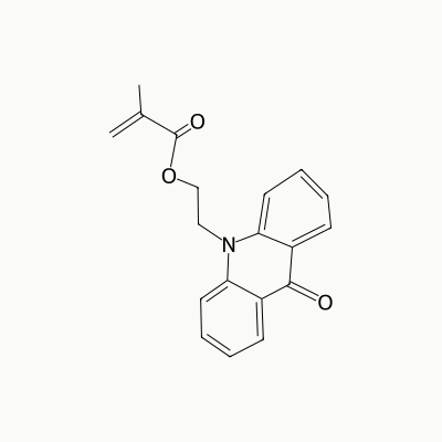 C=C(C)C(=O)OCCn1c2ccccc2c(=O)c2ccccc21